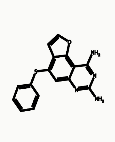 Nc1nc(N)c2c(cc(Sc3ccccc3)c3ccoc32)n1